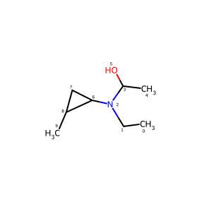 CCN(C(C)O)C1CC1C